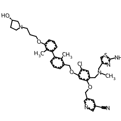 Cc1c(COc2cc(OCc3cncc(C#N)c3)c(CN(C)Cc3csc(N)n3)cc2Cl)cccc1-c1cccc(OCCCN2CC[C@@H](O)C2)c1C